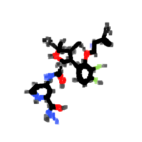 C=C(/C=C/Oc1c([C@H]2[C@H](C(=O)Nc3ccnc(C(N)=O)c3)O[C@@](C)(C(F)(F)F)[C@H]2C)ccc(F)c1F)C(F)(F)F